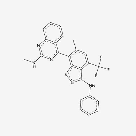 CNc1nc(-c2c(C)cc(C(F)(F)F)c3c(Nc4ccccc4)nsc23)c2ccccc2n1